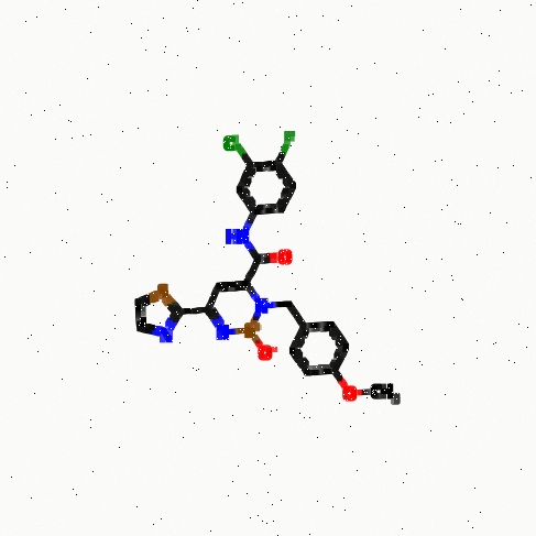 COc1ccc(CN2C(C(=O)Nc3ccc(F)c(Cl)c3)=CC(c3nccs3)=N[S+]2[O-])cc1